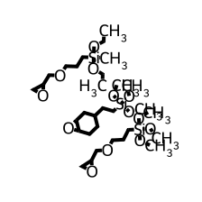 CCO[Si](C)(CCCOCC1CO1)OCC.CO[Si](CCC1CCC2OC2C1)(OC)OC.CO[Si](CCCOCC1CO1)(OC)OC